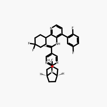 CN1C[C@H]2CC[C@@H](C1)N2c1ncc(C(=O)Nc2c(-c3cc(F)ccc3F)ccnc2C2CCC(F)(F)CC2)cn1